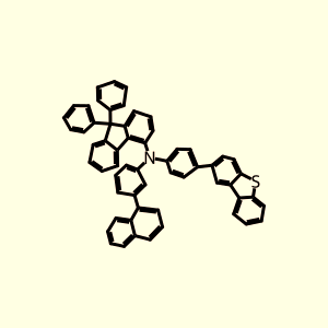 c1ccc(C2(c3ccccc3)c3ccccc3-c3c(N(c4ccc(-c5ccc6sc7ccccc7c6c5)cc4)c4cccc(-c5cccc6ccccc56)c4)cccc32)cc1